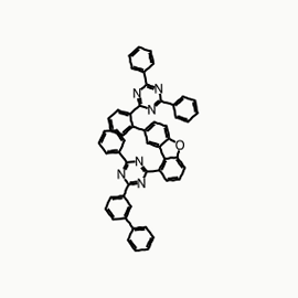 c1ccc(-c2cccc(-c3nc(-c4ccccc4)nc(-c4cccc5oc6ccc(-c7ccccc7-c7nc(-c8ccccc8)nc(-c8ccccc8)n7)cc6c45)n3)c2)cc1